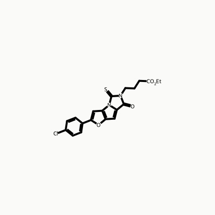 CCOC(=O)CCCN1C(=O)c2cc3oc(-c4ccc(Cl)cc4)cc3n2C1=S